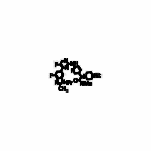 CCN1CCN([C@@H](C(=O)NC)c2ccc(Nc3ncc(F)c(-c4cc(F)c5nc(C)n(C(C)C)c5c4)n3)nc2)CC1